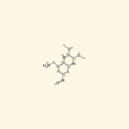 COc1nc2cc(N=O)cc(CN)c2nc1OC